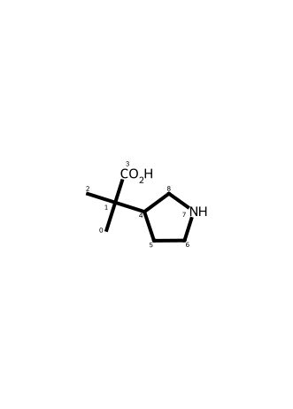 CC(C)(C(=O)O)C1CCNC1